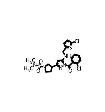 CN(C)S(=O)(=O)N1CCC(c2cc(NCc3ccc(Cl)s3)n(C(=O)c3ccccc3Cl)n2)C1